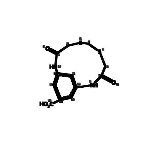 O=C1CSCSCC(=O)Nc2cc(cc(C(=O)O)c2)N1